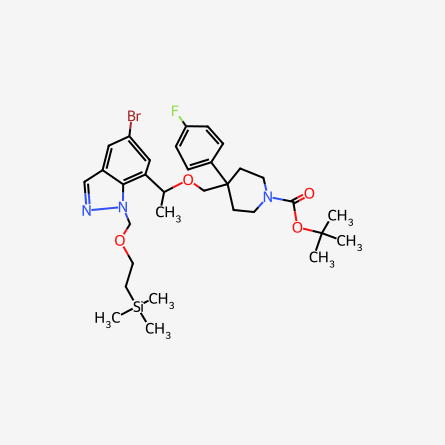 CC(OCC1(c2ccc(F)cc2)CCN(C(=O)OC(C)(C)C)CC1)c1cc(Br)cc2cnn(COCC[Si](C)(C)C)c12